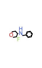 F[C@@H]1COCC[C@@H]1NCc1ccccc1